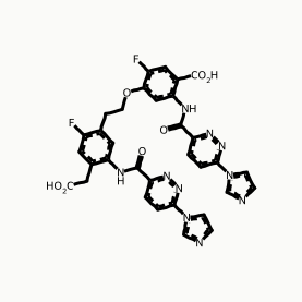 O=C(O)Cc1cc(F)c(CCOc2cc(NC(=O)c3ccc(-n4ccnc4)nn3)c(C(=O)O)cc2F)cc1NC(=O)c1ccc(-n2ccnc2)nn1